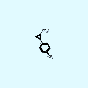 CCOC(=O)[C@H]1C[C@@H]1c1ccc(C(F)(F)F)cc1